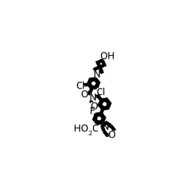 O=C(O)c1cc(F)c(-c2cccc3c2OCN(C(=O)c2c(Cl)cc(N4CC5(CC(O)C5)C4)cc2Cl)C3)cc1N1C2CCC1COC2